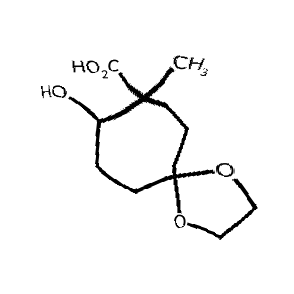 CC1(C(=O)O)CC2(CCC1O)OCCO2